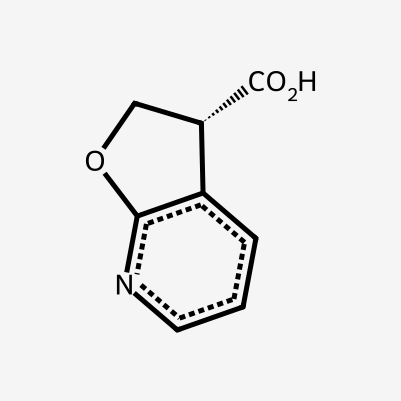 O=C(O)[C@H]1COc2ncccc21